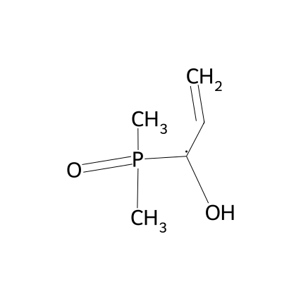 C=C[C](O)P(C)(C)=O